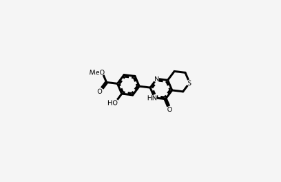 COC(=O)c1ccc(-c2nc3c(c(=O)[nH]2)CSCC3)cc1O